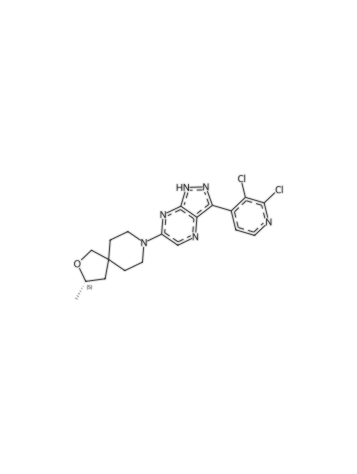 C[C@H]1CC2(CCN(c3cnc4c(-c5ccnc(Cl)c5Cl)n[nH]c4n3)CC2)CO1